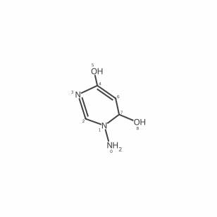 NN1C=NC(O)=CC1O